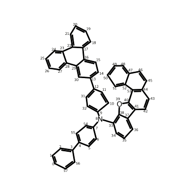 c1ccc(-c2ccc(N(c3ccc(-c4ccc5c6ccccc6c6ccccc6c5c4)cc3)c3cccc4c3oc3c4ccc4ccc5ccccc5c43)cc2)cc1